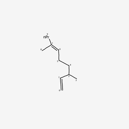 [CH]=CC(C)CCC=C(C)CCC